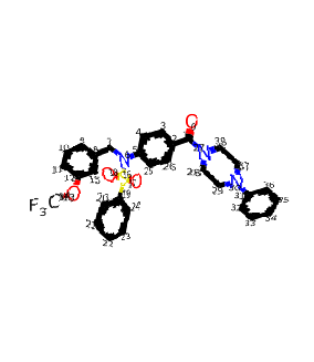 O=C(c1ccc(N(Cc2cccc(OC(F)(F)F)c2)S(=O)(=O)c2ccccc2)cc1)N1CCN(c2ccccc2)CC1